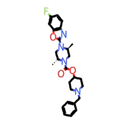 C[C@@H]1CN(c2nc3ccc(F)cc3o2)[C@@H](C)CN1C(=O)OC1CCN(Cc2ccccc2)CC1